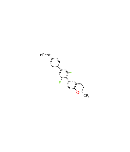 CCCCCc1ccc(-c2cc(F)c(-c3ccc4c(c3)CCC(C(F)(F)F)O4)c(F)c2)cc1